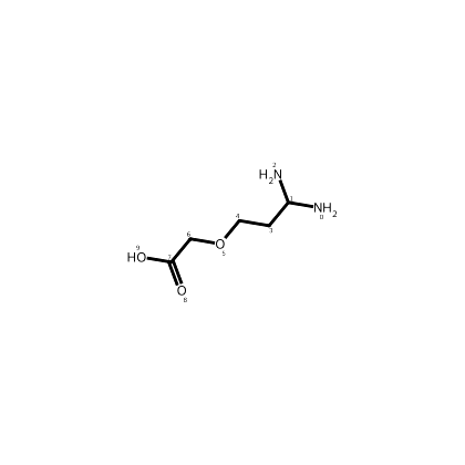 NC(N)CCOCC(=O)O